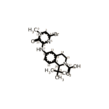 Cn1cc(Br)nc(Nc2ccc3c(c2)CCN(C(=O)O)C3C(C)(C)C)c1=O